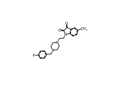 Cc1ccc2c(c1)C(=O)C(=O)N2CCN1CCN(Cc2ccc(F)cc2)CC1